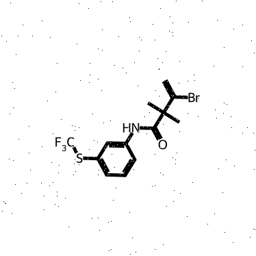 C=C(Br)C(C)(C)C(=O)Nc1cccc(SC(F)(F)F)c1